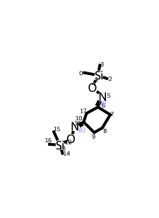 C[Si](C)(C)O/N=C1/CCC/C(=N\O[Si](C)(C)C)C1